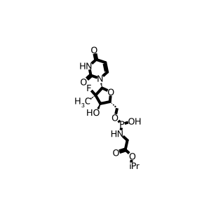 CC(C)OC(=O)CNP(O)OC[C@H]1O[C@@H](n2ccc(=O)[nH]c2=O)[C@](C)(F)[C@@H]1O